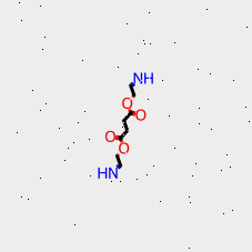 N=CCOC(=O)CCC(=O)OCC=N